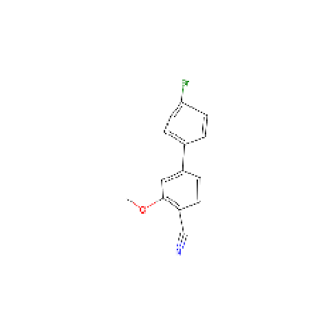 COc1cc(-c2ccc(Br)cc2)ccc1C#N